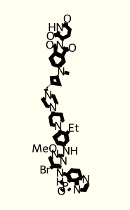 CCc1cc(Nc2ncc(Br)c(Nc3ccc4nccnc4c3P(C)(C)=O)n2)c(OC)cc1N1CCC(N2CCN(C[C@H]3C[C@H](N(C)c4ccc5c(c4)C(=O)N(C4CCC(=O)NC4=O)C5=O)C3)CC2)CC1